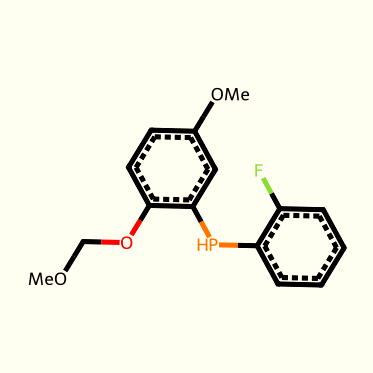 COCOc1ccc(OC)cc1Pc1ccccc1F